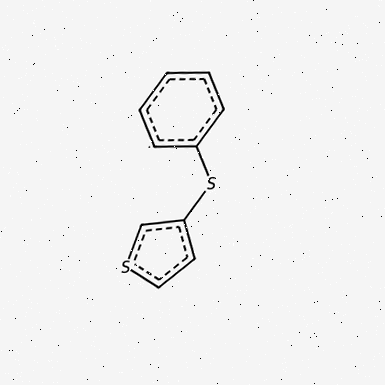 [c]1ccccc1Sc1ccsc1